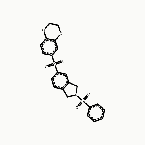 O=S(=O)(c1ccc2c(c1)CN(S(=O)(=O)c1ccccc1)C2)c1ccc2c(c1)OCCO2